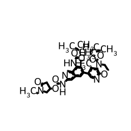 CCN1CC(OC(=O)Nc2cc3cc(-c4cnc5c(c4C)N(C(=O)OC(C)(C)C)CCO5)c(F)c(NC(=O)OC(C)(C)C)c3cn2)CC1=O